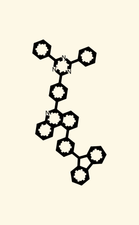 c1ccc(-c2nc(-c3ccccc3)nc(-c3ccc(-c4nc5ccccc5c5c(-c6cccc(C7c8ccccc8-c8ccccc87)c6)cccc45)cc3)n2)cc1